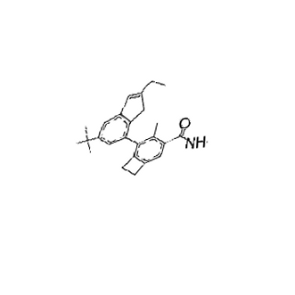 CCC1=Cc2cc(C(C)(C)C)cc(-c3c(C)c(C([NH])=O)cc4c3CC4)c2C1